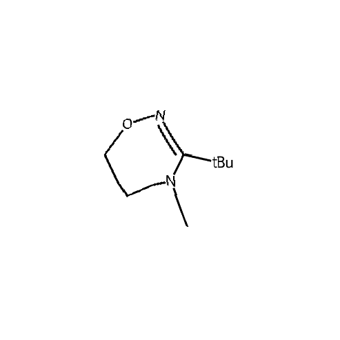 CN1CCON=C1C(C)(C)C